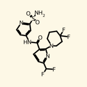 NS(=O)(=O)c1cc(NC(=O)c2ccc(C(F)F)nc2N2CCCC(F)(F)CC2)ccn1